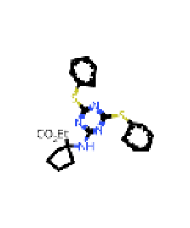 CCOC(=O)C1(Nc2nc(Sc3ccccc3)nc(Sc3ccccc3)n2)CCCC1